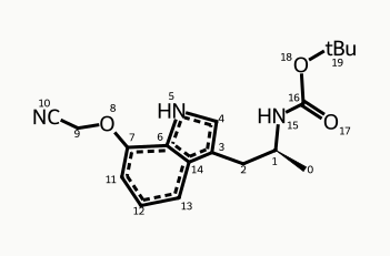 C[C@@H](Cc1c[nH]c2c(OCC#N)cccc12)NC(=O)OC(C)(C)C